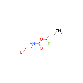 CCCC(F)OC(=O)NCCBr